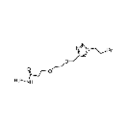 BNC(=O)CCOCCOCc1cn(CCC(C)C)nn1